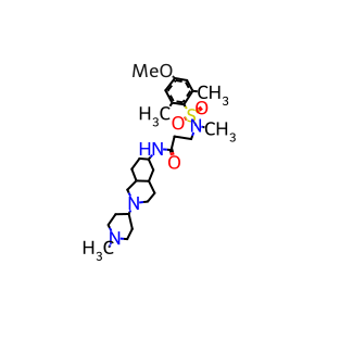 COc1cc(C)c(S(=O)(=O)N(C)CCC(=O)NC2CCC3CN(C4CCN(C)CC4)CCC3C2)c(C)c1